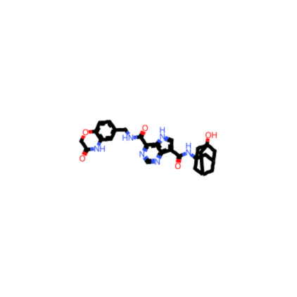 O=C1COc2ccc(CNC(=O)c3ncnc4c(C(=O)NC56CC7CC(CC(O)(C7)C5)C6)c[nH]c34)cc2N1